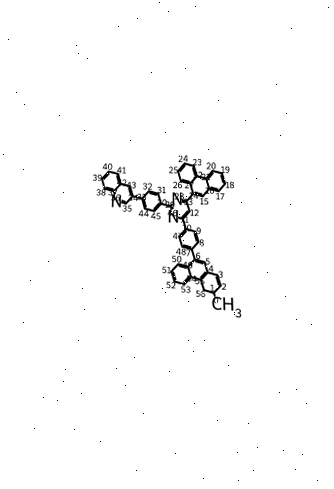 CC1C=Cc2cc(-c3ccc(-c4cc(-c5cc6ccccc6c6ccccc56)nc(-c5ccc(-c6cnc7ccccc7c6)cc5)n4)cc3)c3ccccc3c2C1